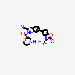 Cn1c(=O)oc2ccc(C34CCC(C[C@@H](C#N)NC(=O)[C@@H]5CNCCCO5)(CC3)CC4)cc21